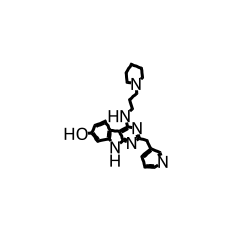 Oc1ccc2c(c1)[nH]c1nc(Cc3cccnc3)nc(NCCCN3CCCCC3)c12